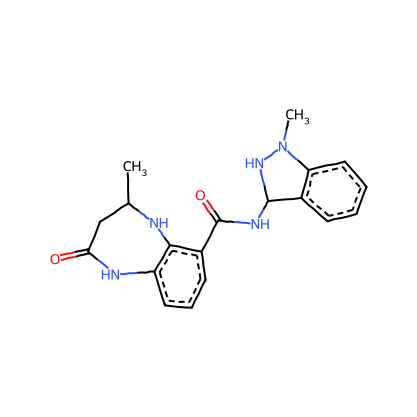 CC1CC(=O)Nc2cccc(C(=O)NC3NN(C)c4ccccc43)c2N1